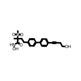 CC(CCc1ccc(-c2ccc(C#CCCO)cc2)cc1)(C(=O)NO)S(C)(=O)=O